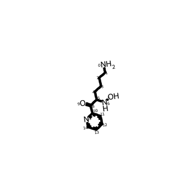 NCCCCC(NO)C(=O)c1ccccn1